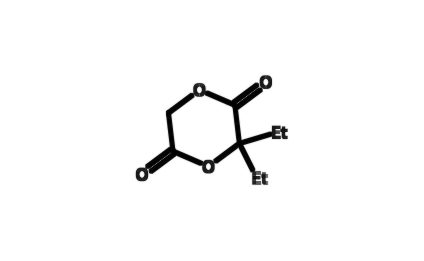 CCC1(CC)OC(=O)COC1=O